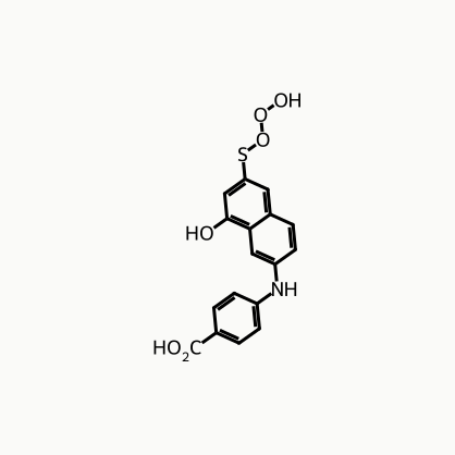 O=C(O)c1ccc(Nc2ccc3cc(SOOO)cc(O)c3c2)cc1